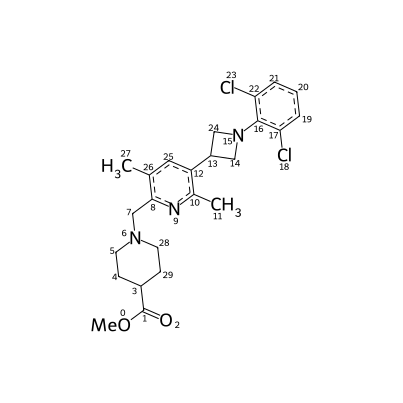 COC(=O)C1CCN(Cc2nc(C)c(C3CN(c4c(Cl)cccc4Cl)C3)cc2C)CC1